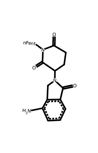 CCCCCN1C(=O)CCC(N2Cc3c(N)cccc3C2=O)C1=O